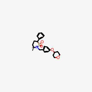 C[C@H]1CCC(c2ccccc2)S(=O)(=O)N1Cc1ccc(OC2CCOCC2)cc1